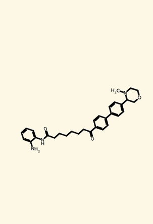 CN1CCOCC1c1ccc(-c2ccc(C(=O)CCCCCCC(=O)Nc3ccccc3N)cc2)cc1